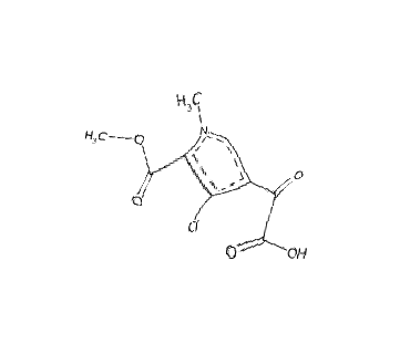 COC(=O)c1c(Cl)c(C(=O)C(=O)O)cn1C